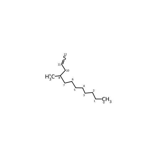 CCCCCCCCC(C)CC=S